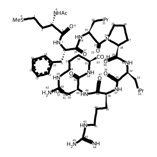 CSCC[C@H](NC(C)=O)C(=O)N[C@@H](Cc1ccccc1)C(=O)N[C@@H](CC(C)C)C(=O)N1CCC[C@H]1C(=O)N[C@@H](CC(C)C)C(=O)N[C@@H](CCCNC(=N)N)C(=O)N[C@@H](CO)C(=O)N[C@@H](CCCNC(=N)N)C(=O)O